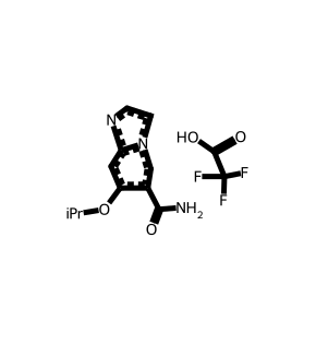 CC(C)Oc1cc2nccn2cc1C(N)=O.O=C(O)C(F)(F)F